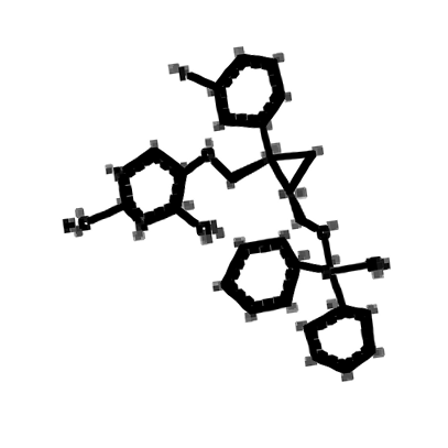 Cc1ncc(OC[C@@]2(c3cccc(F)c3)C[C@H]2CO[Si](c2ccccc2)(c2ccccc2)C(C)(C)C)c(C)n1